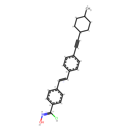 CC1CCC(C#Cc2ccc(/C=C/c3ccc(/C(Cl)=N/O)cc3)cc2)CC1